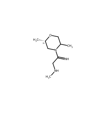 CNCC(=N)N1C[C@H](C)OCC1C